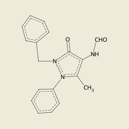 Cc1c(NC=O)c(=O)n(Cc2ccccc2)n1-c1ccccc1